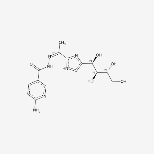 C/C(=N/NC(=O)c1ccc(N)nc1)c1nc([C@@H](O)[C@H](O)[C@H](O)CO)c[nH]1